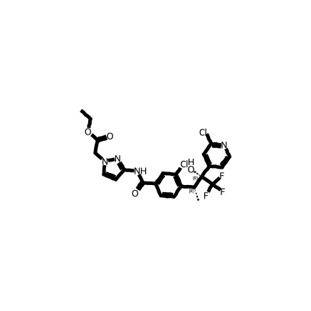 CCOC(=O)Cn1ccc(NC(=O)c2ccc([C@@H](C)[C@@](O)(c3ccnc(Cl)c3)C(F)(F)F)c(Cl)c2)n1